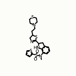 CN(c1cccc2c1NC(C1=NCC(CCN3CCSCC3)S1)C2)S(=O)(=O)c1cccs1